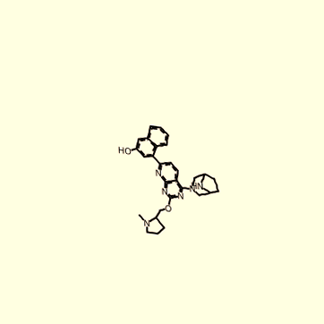 CN1CCCC1COc1nc(N2CC3CCC(C2)N3)c2ccc(-c3cc(O)cc4ccccc34)nc2n1